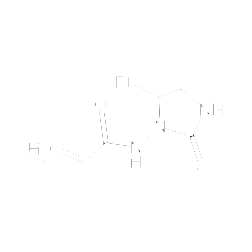 C=CC(=O)NN1C(=O)NCC1CC